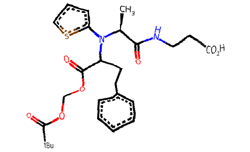 C[C@@H](C(=O)NCCC(=O)O)N(c1cccs1)C(Cc1ccccc1)C(=O)OCOC(=O)C(C)(C)C